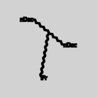 CCCCCCCCCCCCCCCCC[C](CCCCCCCCCCCCCCCC)CCCCCCCCCCCCCCCC(C)C